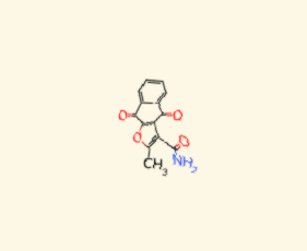 Cc1oc2c(c1C(N)=O)C(=O)c1ccccc1C2=O